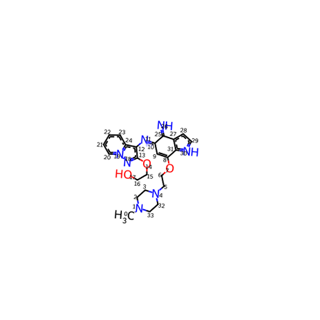 CN1CCN(CCOC2=C/C(=N\c3c(OCCO)nn4ccccc34)C(=N)c3cc[nH]c32)CC1